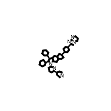 c1ccc(-c2c(-c3ccccc3)n(-c3cccc(-c4ccncc4)n3)c3cc4ccc(-c5ccc(-c6cn7cccnc7n6)cc5)cc4cc23)cc1